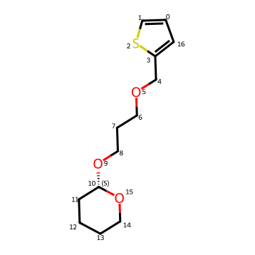 c1csc(COCCCO[C@H]2CCCCO2)c1